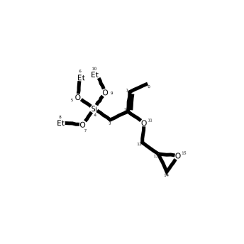 C/C=C(/C[Si](OCC)(OCC)OCC)OCC1CO1